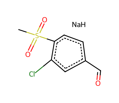 CS(=O)(=O)c1ccc(C=O)cc1Cl.[NaH]